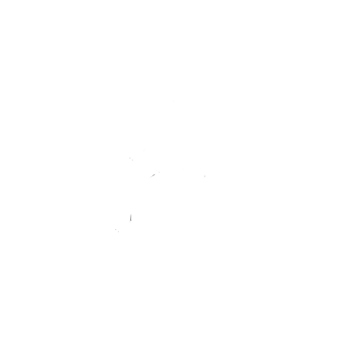 CC(C)(C)OC(=O)N[C@H]1C[C@@H](C(N)=O)CC[C@@H]1NC(=O)OCC[Si](C)(C)C